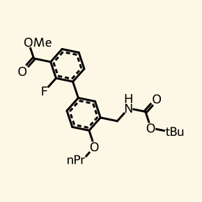 CCCOc1ccc(-c2cccc(C(=O)OC)c2F)cc1CNC(=O)OC(C)(C)C